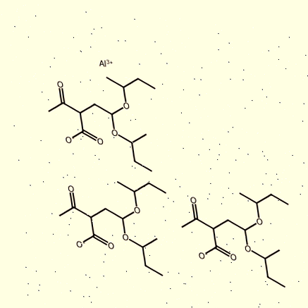 CCC(C)OC(CC(C(C)=O)C(=O)[O-])OC(C)CC.CCC(C)OC(CC(C(C)=O)C(=O)[O-])OC(C)CC.CCC(C)OC(CC(C(C)=O)C(=O)[O-])OC(C)CC.[Al+3]